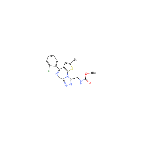 CCc1cc2c(s1)-n1c(nnc1CNC(=O)OC(C)(C)C)CN=C2c1ccccc1Cl